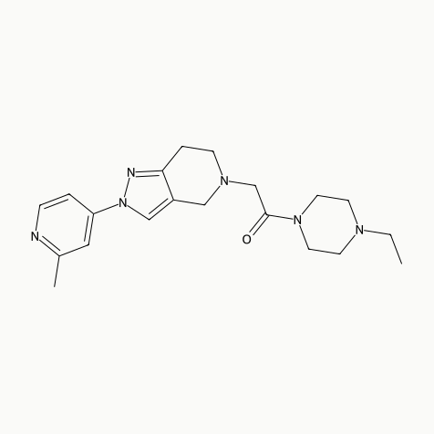 CCN1CCN(C(=O)CN2CCc3nn(-c4ccnc(C)c4)cc3C2)CC1